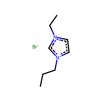 CCC[n+]1ccn(CC)c1.[Br-]